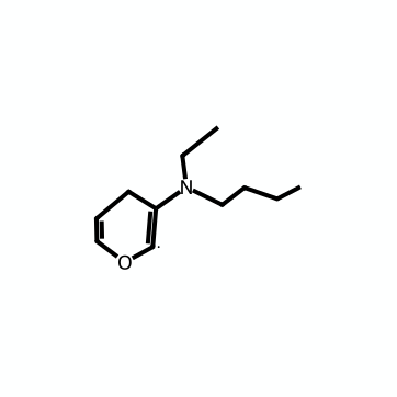 CCCCN(CC)C1=[C]OC=CC1